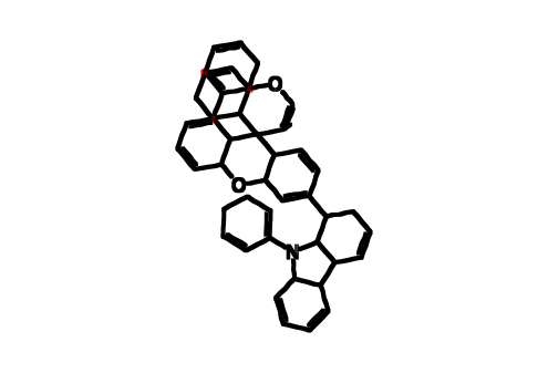 C1=CCCC(C2=CC=CC3OC4C=C(C5CC=CC6C7C=CC=CC7N(C7=CCCC=C7)C56)C=CC4C4(C5=CC=CCC5OC5C=CCCC54)C23)=C1